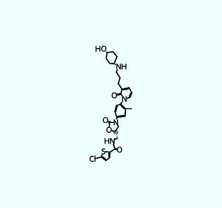 Cc1cc(N2C[C@H](CNC(=O)c3ccc(Cl)s3)OC2=O)ccc1-n1cccc(CCCN[C@H]2CC[C@H](O)CC2)c1=O